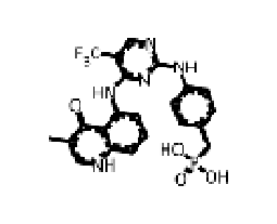 Cc1c[nH]c2cccc(Nc3nc(Nc4ccc(CP(=O)(O)O)cc4)ncc3C(F)(F)F)c2c1=O